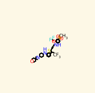 CS(=O)(=O)c1ccc(NCC#Cc2sc3c(NC4CCC(N5CC6(CCOCC6)C5)CC4)cccc3c2CC(F)(F)F)c(OC(F)F)c1